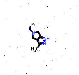 Cc1n[nH]c2c1CN(CC(C)C)C2